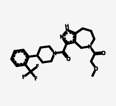 COCC(=O)N1CCCc2[nH]nc(C(=O)N3CCC(c4ccccc4C(F)(F)F)CC3)c2C1